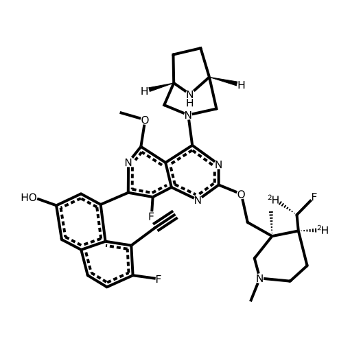 [2H][C@H](F)[C@@]1([2H])CCN(C)C[C@@]1(C)COc1nc(N2C[C@H]3CC[C@@H](C2)N3)c2c(OC)nc(-c3cc(O)cc4ccc(F)c(C#C)c34)c(F)c2n1